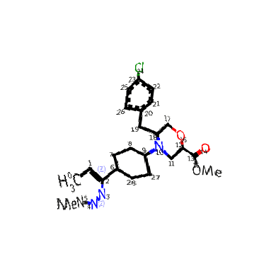 C/C=C(\N=N/NC)C1CCC(N2CC(C(=O)OC)OCC2Cc2ccc(Cl)cc2)CC1